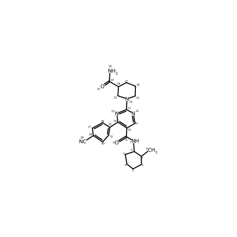 CC1CCCCC1NC(=O)c1cnc(N2CCCC(C(N)=O)C2)nc1-c1ccc(C#N)cc1